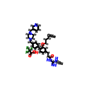 CCCCNC(=N)NC(=O)CCc1ccc(-c2ccc(CN3CCN(Cc4cccnc4)CC3)cc2)c(OCCCOC)c1.O=C(O)C(F)(F)F